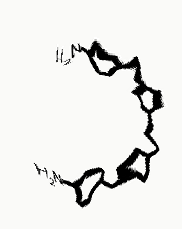 Nc1ccc(CC2=CCC(CCCc3ccc(Cc4ccc(N)cc4)cc3)C=C2)cc1